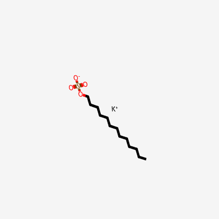 CCCCCCCCCCCCCOS(=O)(=O)[O-].[K+]